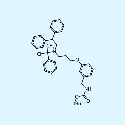 CC(C)(C)OC(=O)NCc1cccc(OCCCN(CC(c2ccccc2)c2ccccc2)C(Cl)(c2ccccc2)C(F)(F)F)c1